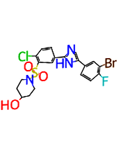 O=S(=O)(c1cc(-c2ncc(-c3ccc(F)c(Br)c3)[nH]2)ccc1Cl)N1CCC(O)CC1